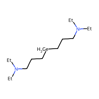 CCN(CC)CC[CH2][GeH2][CH2]CCN(CC)CC